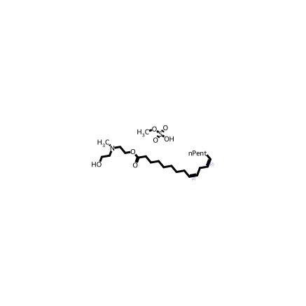 CCCCC/C=C\C/C=C\CCCCCCCC(=O)OCCN(C)CCO.COS(=O)(=O)O